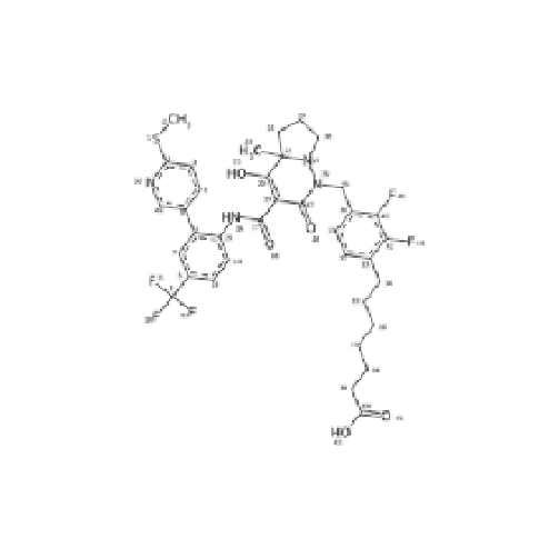 CSc1ccc(-c2cc(C(F)(F)F)ccc2NC(=O)C2=C(O)C3(C)CCCN3N(Cc3ccc(CCCCCCC(=O)O)c(F)c3F)C2=O)cn1